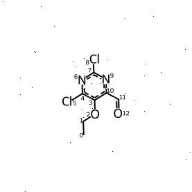 CCOc1c(Cl)nc(Cl)nc1C=O